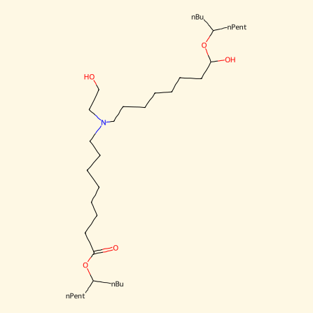 CCCCCC(CCCC)OC(=O)CCCCCCCN(CCO)CCCCCCCC(O)OC(CCCC)CCCCC